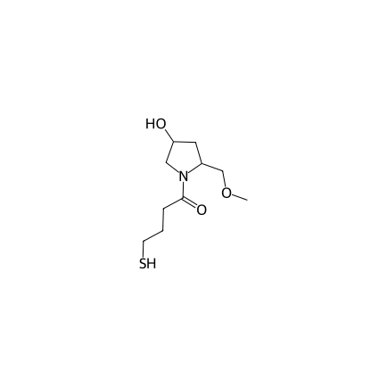 COCC1CC(O)CN1C(=O)CCCS